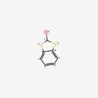 [O]C1Sc2ccccc2S1